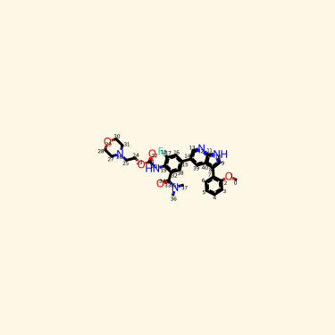 COc1ccccc1-c1c[nH]c2ncc(-c3cc(F)c(NC(=O)OCCN4CCOCC4)c(C(=O)N(C)C)c3)cc12